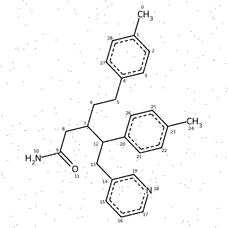 Cc1ccc(CC[C](CC(N)=O)C(Cc2cccnc2)c2ccc(C)cc2)cc1